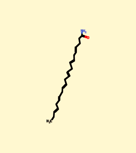 CC/C=C/C/C=C/C/C=C/C/C=C/C/C=C/C/C=C/CCC(N)=O